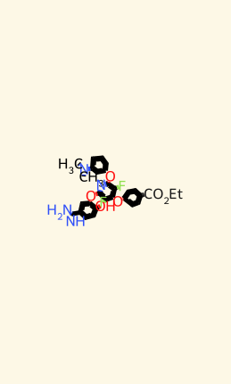 CCOC(=O)c1ccc(Oc2c(F)c(Oc3cccc(N(C)C)c3)nc(Oc3cc(C(=N)N)ccc3O)c2F)cc1